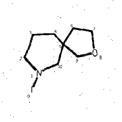 IN1CCCC2(CCOC2)C1